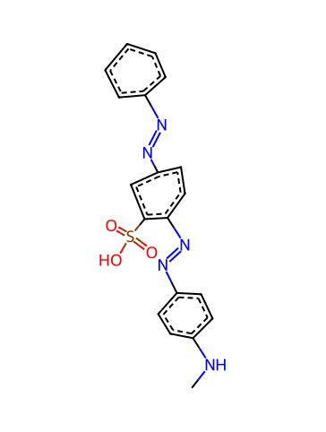 CNc1ccc(N=Nc2ccc(N=Nc3ccccc3)cc2S(=O)(=O)O)cc1